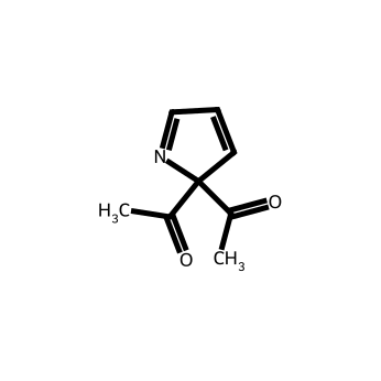 CC(=O)C1(C(C)=O)C=CC=N1